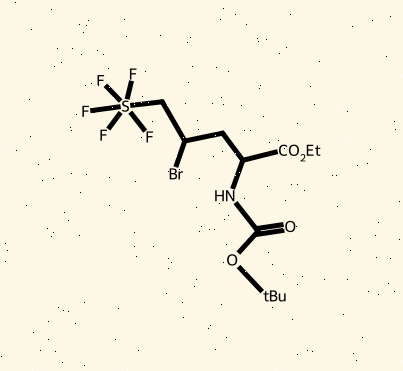 CCOC(=O)C(CC(Br)CS(F)(F)(F)(F)F)NC(=O)OC(C)(C)C